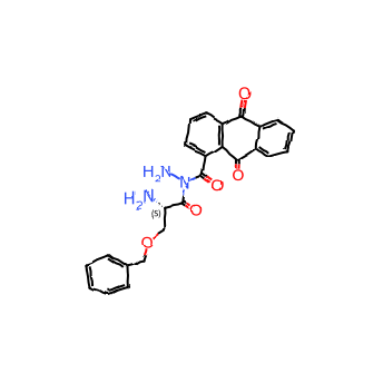 N[C@@H](COCc1ccccc1)C(=O)N(N)C(=O)c1cccc2c1C(=O)c1ccccc1C2=O